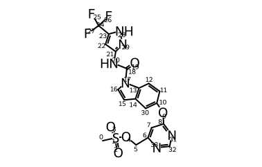 CS(=O)(=O)OCc1cc(Oc2ccc3c(ccn3C(=O)Nc3cc(C(F)(F)F)[nH]n3)c2)ncn1